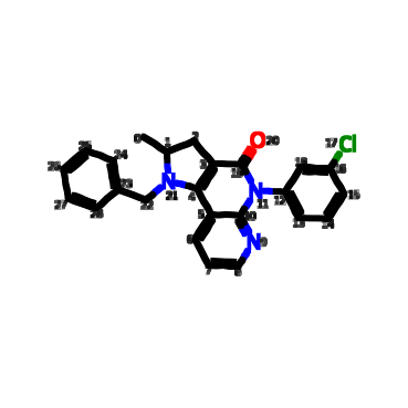 CC1Cc2c(c3cccnc3n(-c3cccc(Cl)c3)c2=O)N1Cc1ccccc1